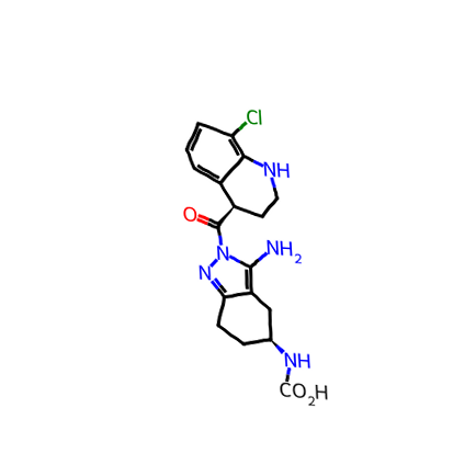 Nc1c2c(nn1C(=O)[C@@H]1CCNc3c(Cl)cccc31)CC[C@H](NC(=O)O)C2